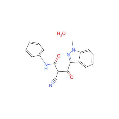 Cn1nc(C(=O)C(C#N)C(=O)Nc2ccccc2)c2ccccc21.O